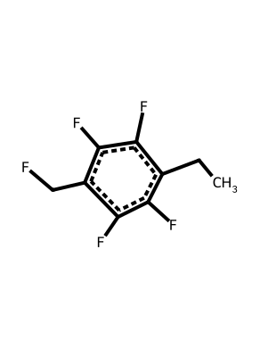 CCc1c(F)c(F)c(CF)c(F)c1F